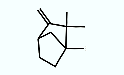 [C]C12CCC(C1)C(=C)C2(C)C